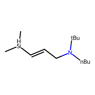 CCCCN(CC=C[SiH](C)C)C(C)(C)C